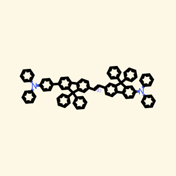 C(=C\c1ccc2c(c1)C(c1ccccc1)(c1ccccc1)c1cc(N(c3ccccc3)c3ccccc3)ccc1-2)/c1ccc2c(c1)C(c1ccccc1)(c1ccccc1)c1cc(-c3ccc(N(c4ccccc4)c4ccccc4)cc3)ccc1-2